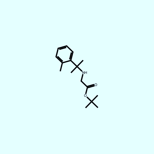 Cc1ccccc1C(C)(C)NCC(=O)OC(C)(C)C